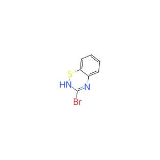 BrC1=Nc2ccccc2SN1